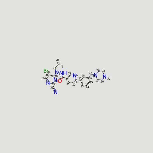 CC(C)CN(NC(=O)c1ccc(-c2cccc(CN3CCN(C)CC3)c2)nc1)c1nc(C#N)ncc1Br